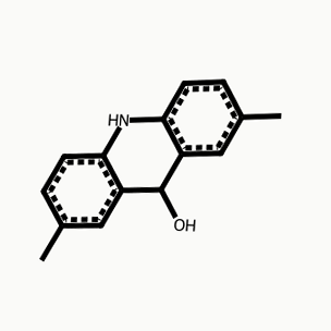 Cc1ccc2c(c1)C(O)c1cc(C)ccc1N2